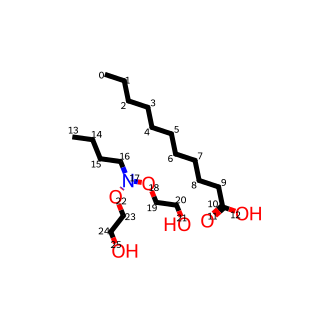 CCCCCCCCCCC(=O)O.CCCCN(OCCO)OCCO